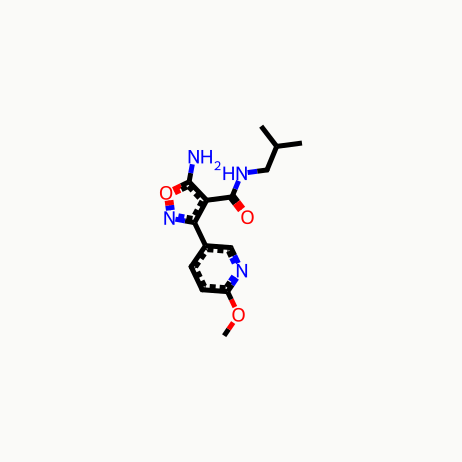 COc1ccc(-c2noc(N)c2C(=O)NCC(C)C)cn1